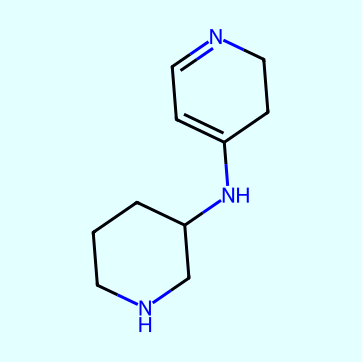 C1=NCCC(NC2CCCNC2)=C1